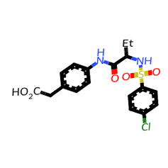 CCC(NS(=O)(=O)c1ccc(Cl)cc1)C(=O)Nc1ccc(CC(=O)O)cc1